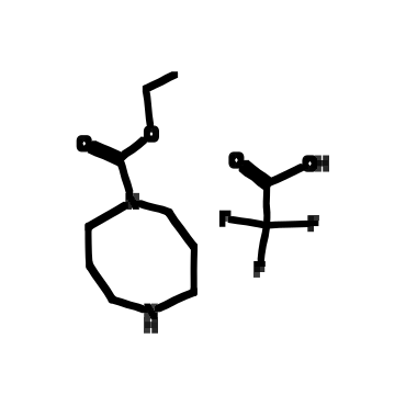 CCOC(=O)N1CCCNCCC1.O=C(O)C(F)(F)F